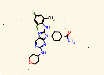 Cc1cc(F)cc(Cl)c1Nc1nc2cnc(NC3CCOCC3)nc2n1[C@H]1CC[C@@H](C(N)=O)CC1